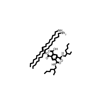 CCCCC(CC)CNC(=O)c1cc(C(=O)O)c(C(=O)O)cc1C(=O)NCC(CC)CCCC.CCCCCCCCC=CCCCCCCCCN.CCCCCCCCC=CCCCCCCCCN